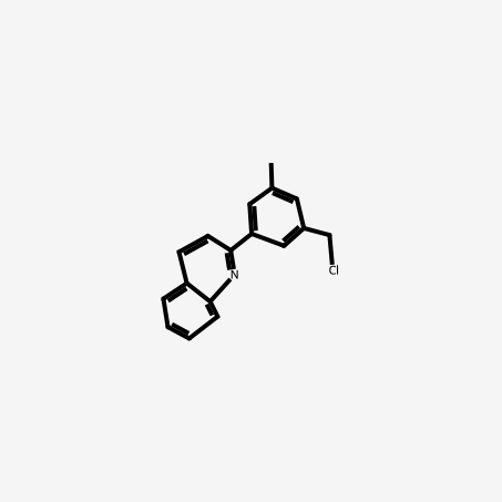 Cc1cc(CCl)cc(-c2ccc3ccccc3n2)c1